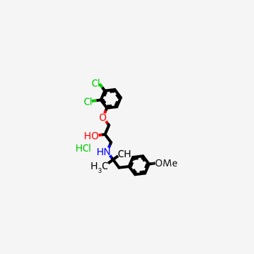 COc1ccc(CC(C)(C)NCC(O)COc2cccc(Cl)c2Cl)cc1.Cl